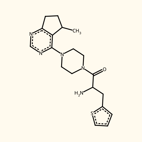 CC1CCc2ncnc(N3CCN(C(=O)C(N)Cc4cccs4)CC3)c21